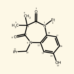 CCN1C(=O)C(C)(C)C(=O)N(CC(C)C)c2cc(O)ccc21